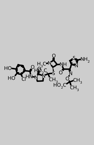 CN1C(=O)C(NC(=O)/C(=N\OC(C)(C)C(=O)O)c2csc(N)n2)[C@H]1S[C@](C)(C(=O)O)N1CCN(NC(=O)c2ccc(O)c(O)c2Cl)C1=O